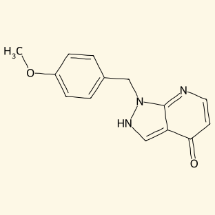 COc1ccc(Cn2[nH]cc3c(=O)ccnc2-3)cc1